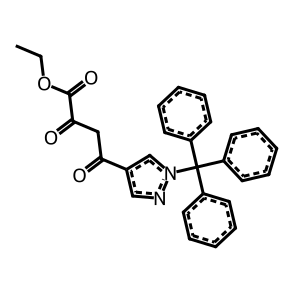 CCOC(=O)C(=O)CC(=O)c1cnn(C(c2ccccc2)(c2ccccc2)c2ccccc2)c1